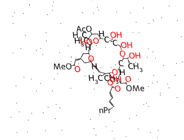 CCC/C=C/C=C/C(=O)O[C@H]1[C@H](CC(=O)OC)C[C@H]2C[C@H]([C@H](C)O)O[C@H](O)C[C@H](O)C[C@@H]3C[C@H](OC(C)=O)C(C)(C)[C@](O)(C[C@@H]4C/C(=C/C(=O)OC)C[C@H](/C=C/C(C)(C)[C@]1(O)O2)O4)O3